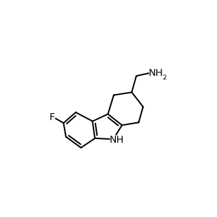 NCC1CCc2[nH]c3ccc(F)cc3c2C1